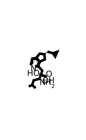 CC(C)C[C@H](N)[C@](O)(Cc1nccc2c1C[C@@H](CC1CC1)C2)C(=O)O